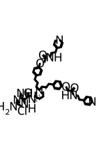 Nc1nc(N)c(C(=O)N[C@H]2CCC[N+](CCCc3ccc(OCC(=O)NCCc4ccncc4)cc3)(CCCc3ccc(OCC(=O)NCCc4ccncc4)cc3)C2)nc1Cl